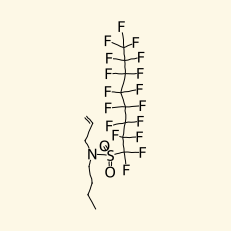 C=CCN(CCCC)S(=O)(=O)C(F)(F)C(F)(F)C(F)(F)C(F)(F)C(F)(F)C(F)(F)C(F)(F)C(F)(F)F